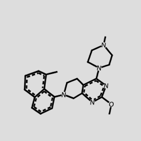 COc1nc2c(c(N3CCN(C)CC3)n1)CCN(c1cccc3cccc(C)c13)C2